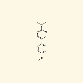 COc1ccc(-c2cnc(N(C)C)nc2)cc1